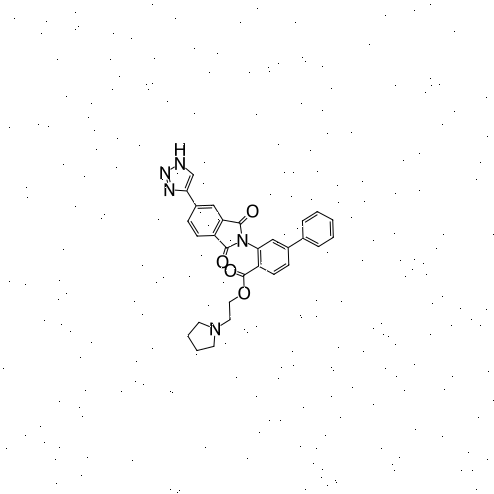 O=C(OCCN1CCCC1)c1ccc(-c2ccccc2)cc1N1C(=O)c2ccc(-c3c[nH]nn3)cc2C1=O